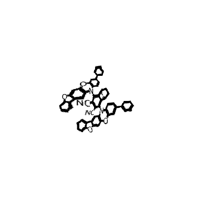 N#Cc1c(C#N)c(N2c3ccc(-c4ccccc4)cc3Oc3cc4oc5ccccc5c4cc32)c2c(c1N1c3ccc(-c4ccccc4)cc3Oc3cc4oc5ccccc5c4cc31)C1CCC2O1